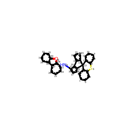 c1ccc2c(c1)Sc1ccccc1C21c2ccccc2-c2c(Nc3cccc4c3oc3ccccc34)cccc21